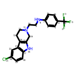 FC(F)(F)c1ccc(NCCN2CCc3c([nH]c4ccc(Cl)cc34)C2)cc1